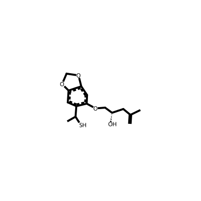 C=C(C)C[C@H](O)COc1cc2c(cc1C(C)S)OCO2